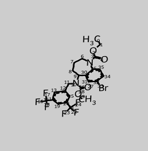 CCOC(=O)N1CCCC(N(Cc2cc(C(F)(F)F)cc(C(F)(F)F)c2)C(=O)OC)c2cc(Br)ccc21